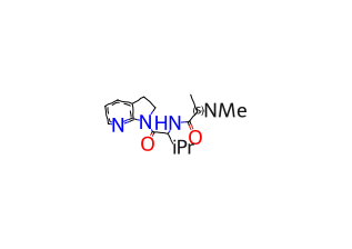 CN[C@@H](C)C(=O)NC(C(=O)N1CCc2cccnc21)C(C)C